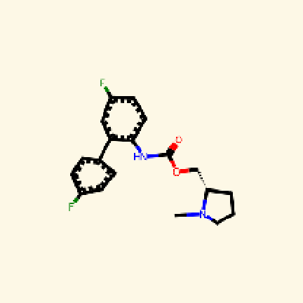 CN1CCC[C@H]1COC(=O)Nc1ccc(F)cc1-c1ccc(F)cc1